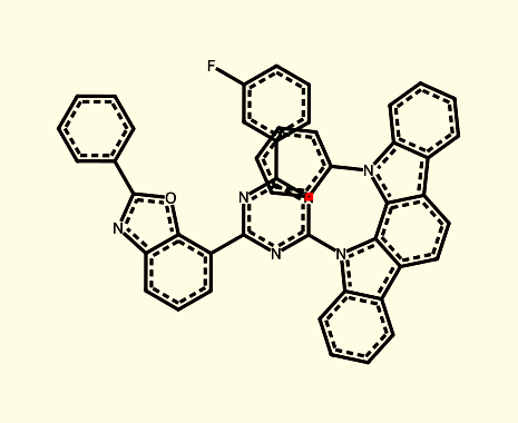 Fc1cccc(-c2nc(-c3cccc4nc(-c5ccccc5)oc34)nc(-n3c4ccccc4c4ccc5c6ccccc6n(-c6ccccc6)c5c43)n2)c1